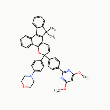 COc1cc(OC)nc(-c2ccc(C3(c4ccc(N5CCOCC5)cc4)C=Cc4c5c(c6ccccc6c4O3)-c3ccccc3C5(C)C)cc2)n1